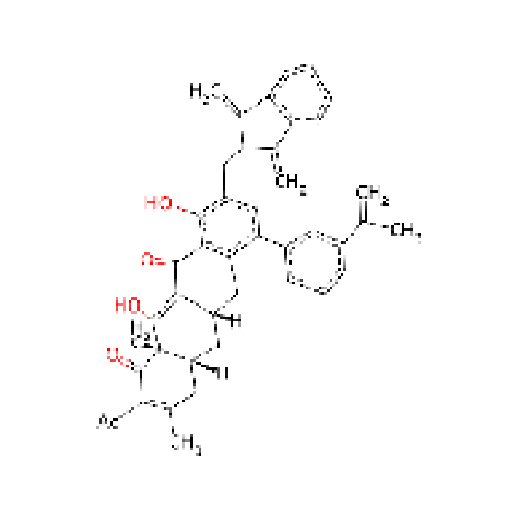 C=C(C)c1cccc(-c2cc(CC3C(=C)c4ccccc4C3=C)c(O)c3c2C[C@@H]2C[C@@H]4CC(C)=C(C(C)=O)C(=O)[C@]4(C)C(O)=C2C3=O)c1